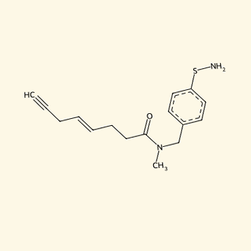 C#CC/C=C/CCC(=O)N(C)Cc1ccc(SN)cc1